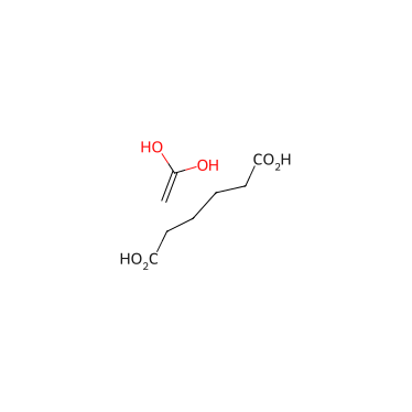 C=C(O)O.O=C(O)CCCCC(=O)O